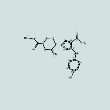 CC(C)(C)OC(=O)N1CC[C@H](n2cc(C(N)=O)c(Nc3ccc(F)cc3)n2)[C@@H](C#N)C1